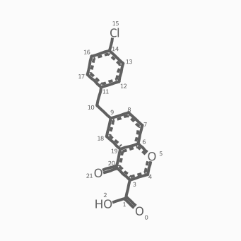 O=C(O)c1coc2ccc(Cc3ccc(Cl)cc3)cc2c1=O